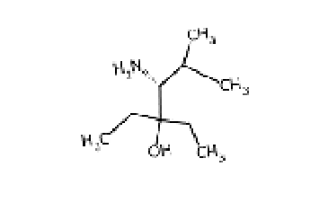 CCC(O)(CC)[C@H](N)C(C)C